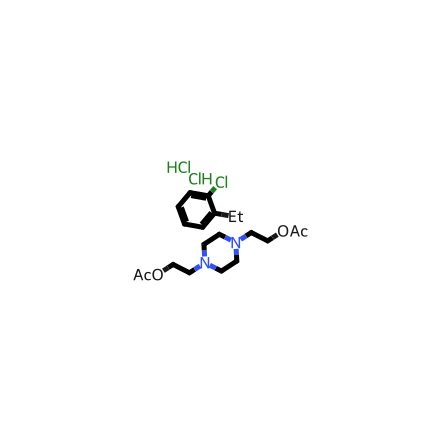 CC(=O)OCCN1CCN(CCOC(C)=O)CC1.CCc1ccccc1Cl.Cl.Cl